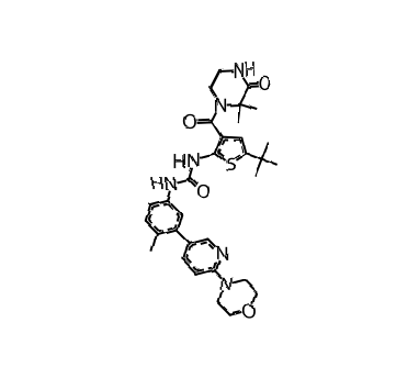 Cc1ccc(NC(=O)Nc2sc(C(C)(C)C)cc2C(=O)N2CCNC(=O)C2(C)C)cc1-c1ccc(N2CCOCC2)nc1